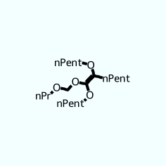 CCCCCOC(CCCCC)=C(OCCCCC)OCOCCC